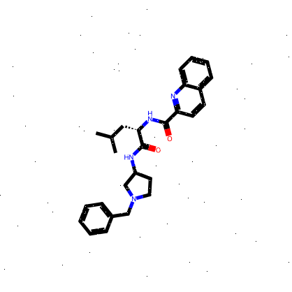 CC(C)C[C@H](NC(=O)c1ccc2ccccc2n1)C(=O)NC1CCN(Cc2ccccc2)C1